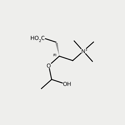 CC(O)O[C@H](CC(=O)O)C[N+](C)(C)C